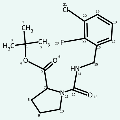 CC(C)(C)OC(=O)C1CCCN1C(=O)NCc1cccc(Cl)c1F